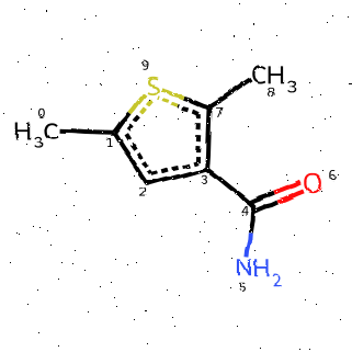 Cc1cc(C(N)=O)c(C)s1